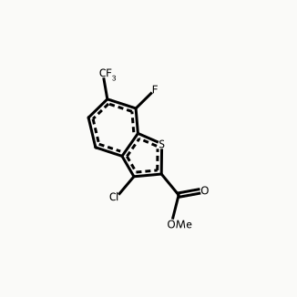 COC(=O)c1sc2c(F)c(C(F)(F)F)ccc2c1Cl